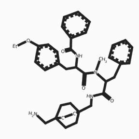 CCOc1ccc(CC(NC(=O)c2ccccc2)C(=O)N(C)C(Cc2ccccc2)C(=O)NCC23CCC(CN)(CC2)CC3)cc1